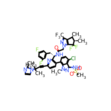 Cc1nccn1C(C)(C)C#Cc1ccc(-c2ccc(Cl)c3c(NS(C)(=O)=O)nn(C)c23)c([C@H](Cc2cc(F)cc(F)c2)NC(=O)Cn2nc(C(F)(F)F)c3c2C(F)(F)[C@H](C)[C@@H]3C)n1